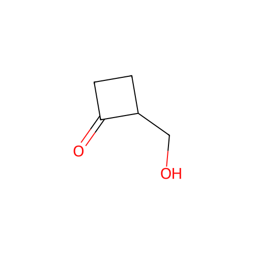 O=C1CCC1CO